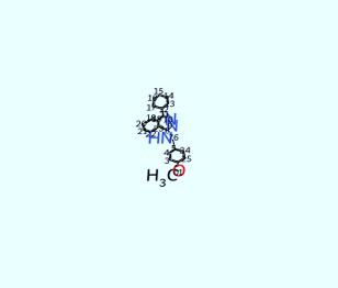 COc1ccc(CNc2nnc(-c3ccccc3)c3ccccc23)cc1